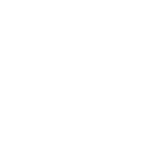 C=CCCC(CCCCC)C(C)(C)C